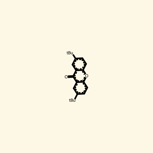 CC(C)(C)c1ccc2oc3ccc(C(C)(C)C)cc3c(=O)c2c1